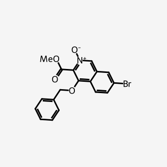 COC(=O)c1c(OCc2ccccc2)c2ccc(Br)cc2c[n+]1[O-]